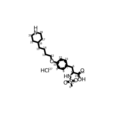 CS(=O)(=O)NC(Cc1ccc(OCCCCC2CCNCC2)cc1)C(=O)O.Cl